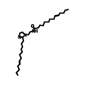 CCCC/C=C/CCCCCCCC(=O)NCCN1CCN=C1CCCCCCC/C=C/CCCC